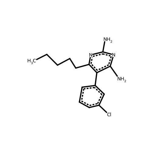 CCCCCc1nc(N)nc(N)c1-c1cccc(Cl)c1